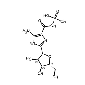 Nc1[nH]c(C2O[C@H](CO)[C@@H](O)[C@H]2O)nc1C(=O)NP(=O)(O)O